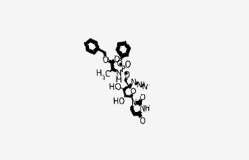 C[C@H](NP(=O)(OC[C@@]1(N=[N+]=[N-])O[C@@H](n2ccc(=O)[nH]c2=O)[C@H](O)[C@@H]1O)Oc1ccccc1)C(=O)OCc1ccccc1